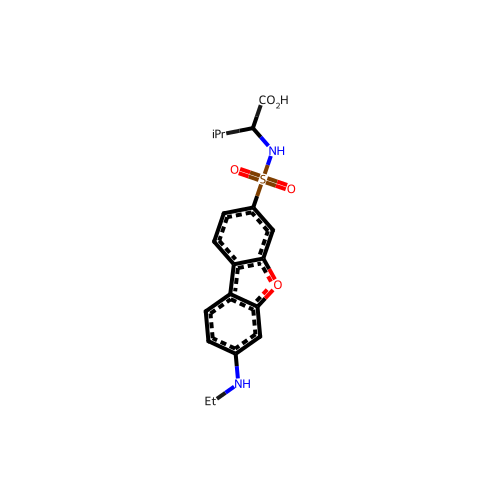 CCNc1ccc2c(c1)oc1cc(S(=O)(=O)NC(C(=O)O)C(C)C)ccc12